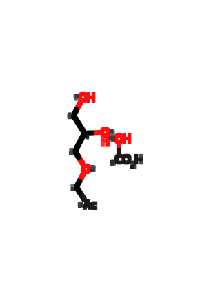 CC(=O)COCC(O)CO.O=C(O)O